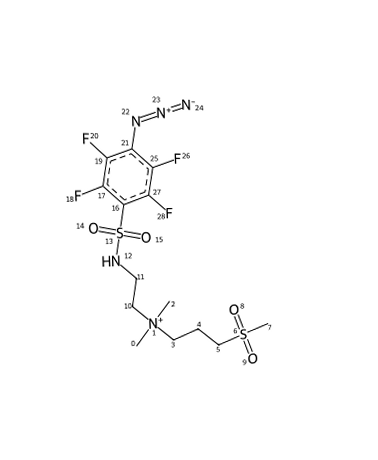 C[N+](C)(CCCS(C)(=O)=O)CCNS(=O)(=O)c1c(F)c(F)c(N=[N+]=[N-])c(F)c1F